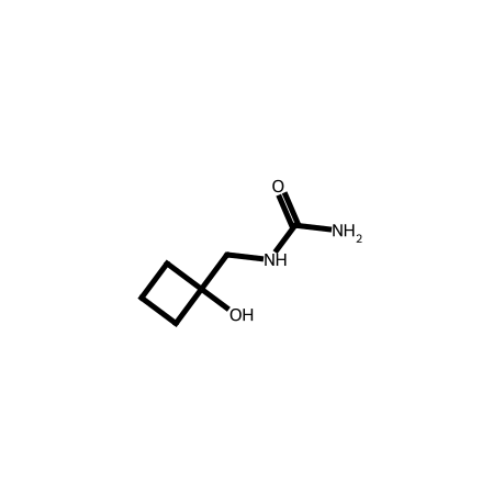 NC(=O)NCC1(O)CCC1